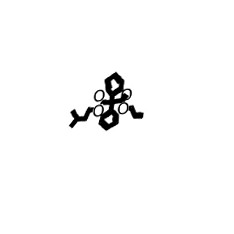 C=CCOC(=O)C(C(=O)OCCC(C)C)(c1ccccc1)c1ccccc1